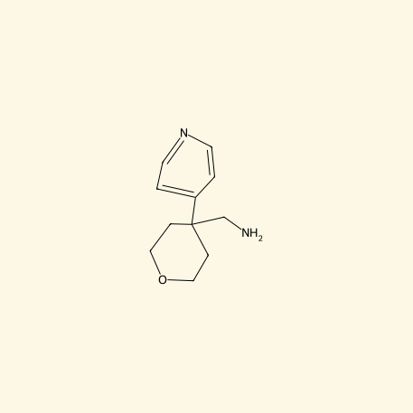 NCC1(c2ccncc2)CCOCC1